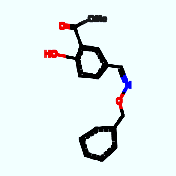 COC(=O)c1cc(/C=N\OCc2ccccc2)ccc1O